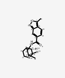 Cc1onc2cc(C(=O)N[C@@H]3C4CCN(CC4)[C@H]3C)ccc12